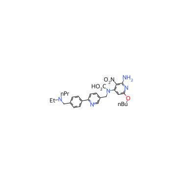 CCCCOc1cc(N(Cc2ccc(-c3ccc(CN(CC)CCC)cc3)nc2)C(=O)O)c([N+](=O)[O-])c(N)n1